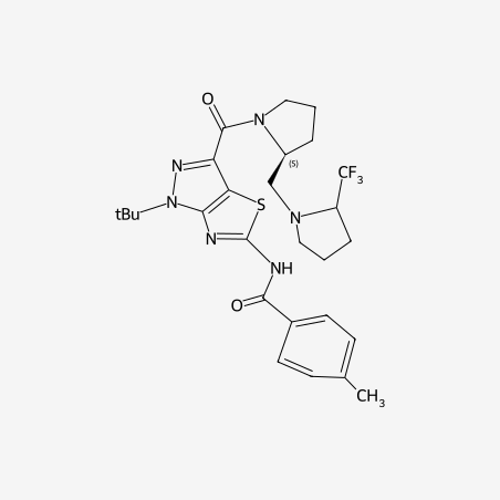 Cc1ccc(C(=O)Nc2nc3c(s2)c(C(=O)N2CCC[C@H]2CN2CCCC2C(F)(F)F)nn3C(C)(C)C)cc1